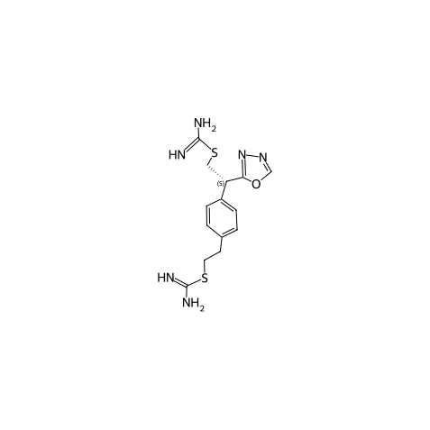 N=C(N)SCCc1ccc([C@H](CSC(=N)N)c2nnco2)cc1